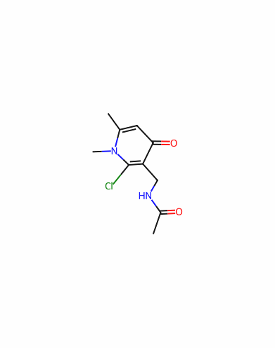 CC(=O)NCc1c(Cl)n(C)c(C)cc1=O